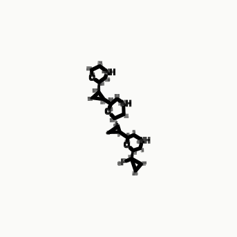 FC1([C@@H]2CNCC(C3CC3[C@H]3CNCC(C4CC4[C@@H]4CNCCO4)O3)O2)CC1